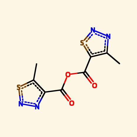 Cc1nnsc1C(=O)OC(=O)c1nnsc1C